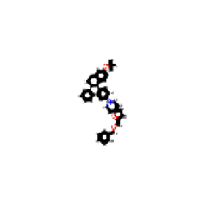 CC(C)(C)Oc1ccc2c(c1)CC[C@H](c1ccccc1)[C@@H]2c1ccc(N2CCC3(CCC(COCc4ccccc4)O3)CC2)cc1